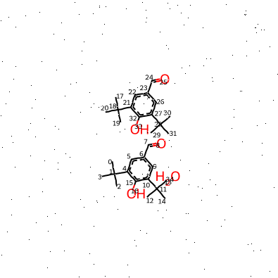 CC(C)(C)c1cc(C=O)cc(C(C)(C)C)c1O.CC(C)(C)c1cc(C=O)cc(C(C)(C)C)c1O.O